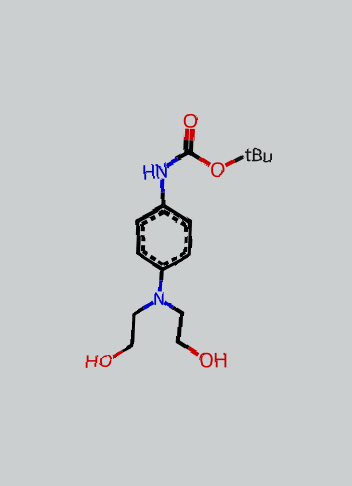 CC(C)(C)OC(=O)Nc1ccc(N(CCO)CCO)cc1